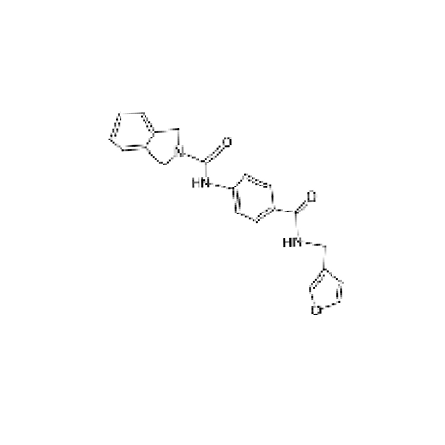 O=C(NCc1ccoc1)c1ccc(NC(=O)N2Cc3ccccc3C2)cc1